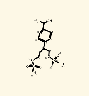 CC(C)c1ccc(C(CCOS(C)(=O)=O)COS(C)(=O)=O)cc1